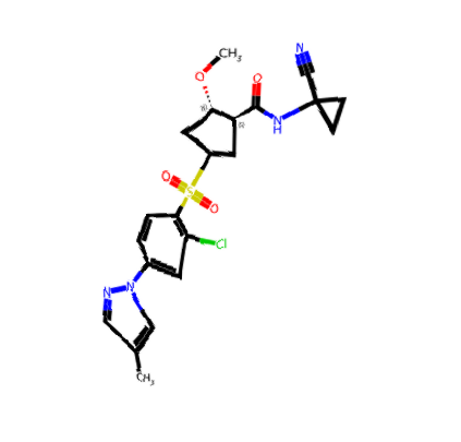 CO[C@H]1CC(S(=O)(=O)c2ccc(-n3cc(C)cn3)cc2Cl)C[C@@H]1C(=O)NC1(C#N)CC1